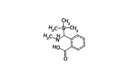 CNC(c1ccccc1C(=O)O)[Si](C)(C)C